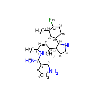 CCC(CN)C(N)NC(C)/C=C\C(C)C1CCNC1C1CCC(F)C(C)C1